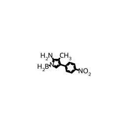 Bn1cc(-c2ccc([N+](=O)[O-])cc2)c(C)c1N